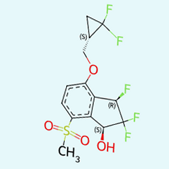 CS(=O)(=O)c1ccc(OC[C@@H]2CC2(F)F)c2c1[C@H](O)C(F)(F)[C@@H]2F